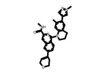 CNC(=O)c1cc2cc(C3=CCOCC3)ccc2c(N2CCCc3cc(-c4cnn(C)c4)c(C)cc32)n1